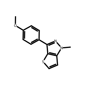 COc1ccc(-c2nn(C)c3ccsc23)cc1